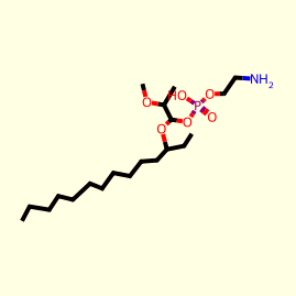 CCCCCCCCCCCC(CC)OC(OP(=O)(O)OCCN)C(C)OC